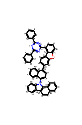 c1ccc(-c2nc(-c3ccccc3)nc(-c3cccc4oc5cc(-c6ccc(-n7c8ccccc8c8ccc9ccccc9c87)c7ccccc67)ccc5c34)n2)cc1